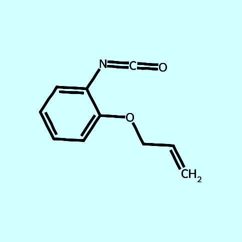 C=CCOc1ccccc1N=C=O